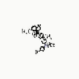 CCO/N=C(/c1ccc(Br)cc1)C1CCN(C2(C)CCN(C(=O)c3ccnc4ccc(C)c(O)c34)CC2)CC1